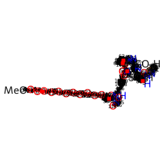 COCCOCCOCCOCCOCCOCCOCCOCCOCCOCCOCCOc1ccc(C[C@@H](C(=O)NCCCCc2c[c]c(COC(=O)N(CCOC34CC5(C)CC(C)(CC(Cn6ncc(-c7ccc(-c8ccc9cccc(C(=O)Nc%10nc%11ccccc%11s%10)c9c8)nc7C(=O)O)c6C)(C5)C3)C4)CCS(=O)(=O)O)cc2)N2C(=O)C=CC2=O)cc1